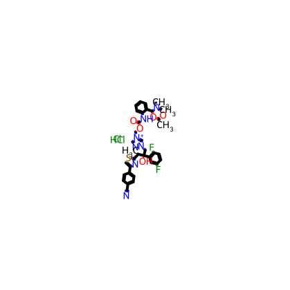 CC(=O)OC(c1ccccc1NC(=O)OC[n+]1cnn(C[C@](O)(c2cc(F)ccc2F)[C@@H](C)c2nc(-c3ccc(C#N)cc3)cs2)c1)N(C)C.Cl.[Cl-]